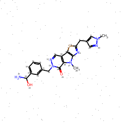 Cn1cc(Cc2nc3c(s2)c2cnn(Cc4cccc(C(N)O)c4)c(=O)c2n3C)cn1